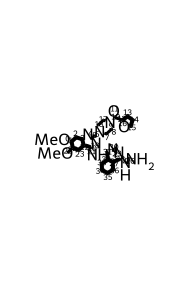 COc1cc2nc(N3CCN(C(=O)c4ccco4)CC3)nc(N)c2cc1OC.NNc1nncc2ccccc12